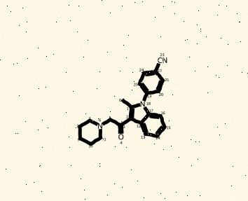 Cc1c(C(=O)CN2CCCCC2)c2ccccc2n1-c1ccc(C#N)cc1